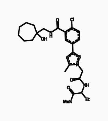 CCC(NC(=O)Cn1nc(-c2ccc(Cl)c(C(=O)NCC3(O)CCCCCC3)c2)cc1C)C(=O)NC